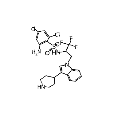 Nc1cc(Cl)cc(Cl)c1S(=O)(=O)NC(Cn1cc(C2CCNCC2)c2ccccc21)C(F)(F)F